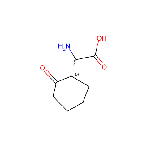 NC(C(=O)O)[C@@H]1CCCCC1=O